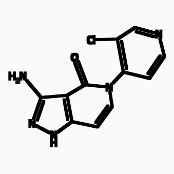 Nc1n[nH]c2ccn(-c3ccncc3Cl)c(=O)c12